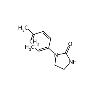 C=C(C)/C=C\C(=C/C)N1CCNC1=O